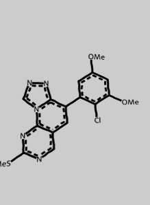 COc1cc(OC)c(Cl)c(-c2cc3cnc(SC)nc3n3cnnc23)c1